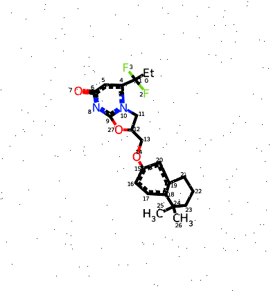 CCC(F)(F)c1cc(=O)nc2n1CC(COc1ccc3c(c1)CCCC3(C)C)O2